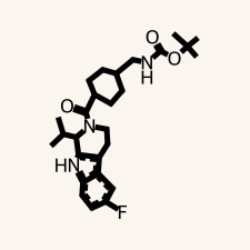 CC(C)C1c2[nH]c3ccc(F)cc3c2CCN1C(=O)C1CCC(CNC(=O)OC(C)(C)C)CC1